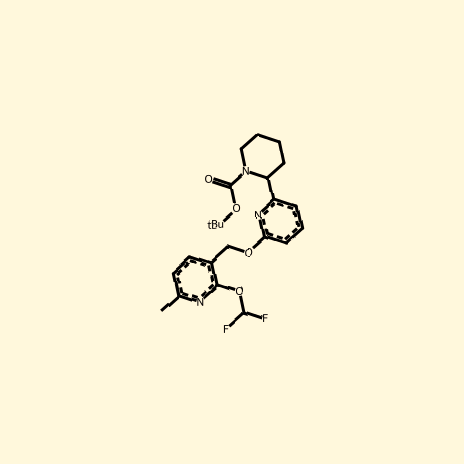 Cc1ccc(COc2cccc(C3CCCCN3C(=O)OC(C)(C)C)n2)c(OC(F)F)n1